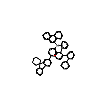 c1ccc(-c2ccccc2-c2ccccc2-c2ccccc2N(c2ccc(-c3ccc4c(c3)C3(CCCCC3)c3ccccc3-4)cc2)c2cc3ccccc3c3ccccc23)cc1